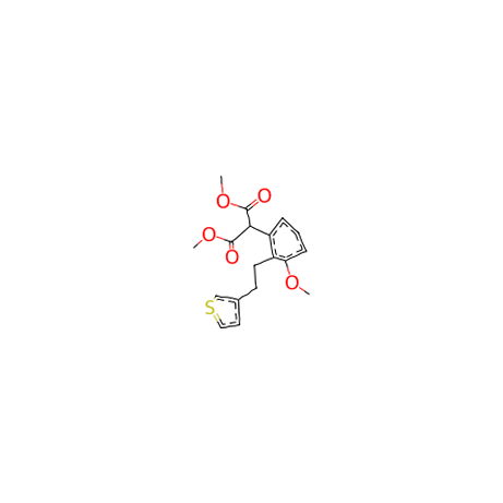 COC(=O)C(C(=O)OC)c1cccc(OC)c1CCc1ccsc1